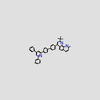 Cc1ccc2ccc3c(-c4ccc(-c5ccc(-c6cc(-c7ccccc7)cc(-c7ccccc7)n6)cc5)cc4)cc(C(C)(C)C)nc3c2n1